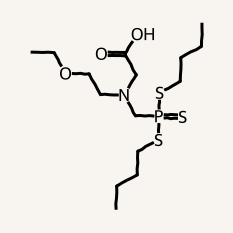 CCCCSP(=S)(CN(CCOCC)CC(=O)O)SCCCC